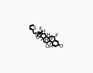 C[C@]12C=CC(=O)C=C1[C@@H](F)C[C@H]1[C@@H]3C[C@H]4CN(Cc5cccs5)O[C@@]4(C(=O)CF)[C@@]3(C)C[C@H](O)[C@@]12F